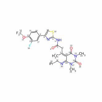 C/C(CC(=O)Nc1nc(-c2ccc(OC(F)(F)F)c(F)c2)cs1)=C1/C(=O)N(C)C(=O)N(C)/C1=N/CC(C)C